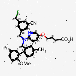 COc1ccc(C(C)C)cc1-c1ccc(C)cc1CN(Cc1cc(C#N)cc(CF)c1)c1ccc(OCCCC(=O)O)cn1